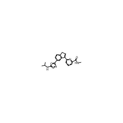 CNC(=O)c1cccc(C2=CCc3ccc(-c4nnc(NC(C)C)o4)cc32)n1